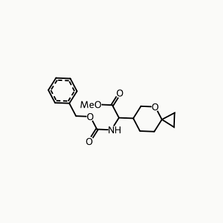 COC(=O)C(NC(=O)OCc1ccccc1)C1CCC2(CC2)OC1